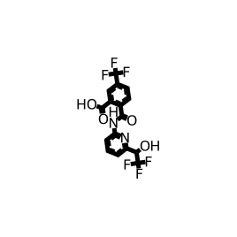 O=C(O)c1cc(C(F)(F)F)ccc1C(=O)Nc1cccc(C(O)C(F)(F)F)n1